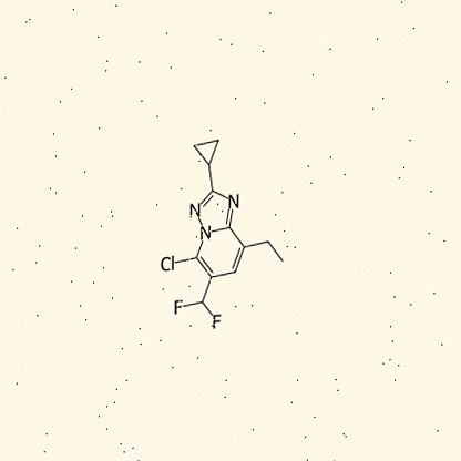 CCc1cc(C(F)F)c(Cl)n2nc(C3CC3)nc12